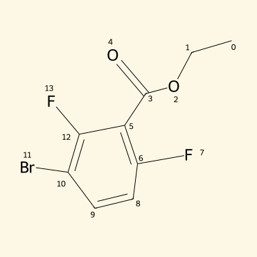 CCOC(=O)c1c(F)ccc(Br)c1F